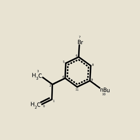 C=C[C](C)c1cc(Br)cc(CCCC)c1